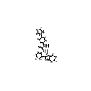 S=C(Nc1ccc(-n2cccn2)cc1)Nc1ccccc1C1=NC2CC=NC=C2S1